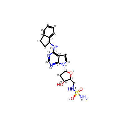 NS(=O)(=O)NC[C@@H]1O[C@@H](n2ccc3c(N[C@H]4CCc5ccccc54)ncnc32)C[C@@H]1O